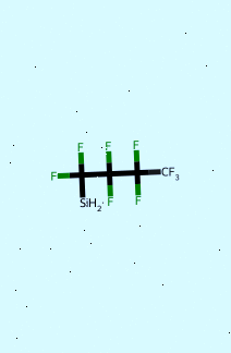 FC(F)(F)C(F)(F)C(F)(F)C(F)(F)[SiH2]